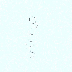 Cc1nc(-c2nc(Cl)cs2)ncc1OC(=O)Nn1cc(C)c2cc(F)ccc21